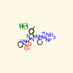 COCC1(NC(=O)c2nc(N[C@H]3CCCC[C@H]3NC(=N)N)c3cc(C)ccc3n2)CCCCC1.Cl.Cl